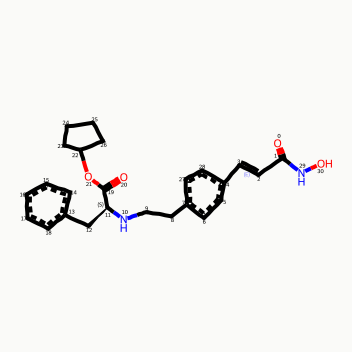 O=C(/C=C/c1ccc(CCN[C@@H](Cc2ccccc2)C(=O)OC2CCCC2)cc1)NO